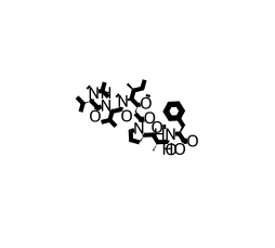 CC[C@H](C)[C@@H]([C@@H](CC(=O)N1CCC[C@H]1[C@H](OC)[C@@H](C)C(=O)N[C@@H](Cc1ccccc1)C(=O)O)OC)N(C)C(=O)C(NC(=O)[C@H](C(C)C)N(C)C(C)C)C(C)C